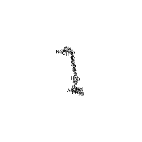 CC(=O)N1c2ccc(-c3ccc(C(=O)NCCOCCOCCOCCOCCOCCNC(=O)c4ccc5c(c4)CN(C(=O)CC#N)CCC5)cc3)cc2[C@H](Nc2ccc(Cl)cc2)C[C@@H]1C